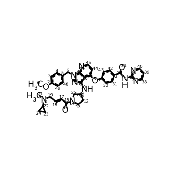 COc1ccc(Cn2nc(N[C@@H]3CCN(C(=O)C=CCN(C)C4CC4)C3)c3c(Oc4ccc(C(=O)Nc5ncccn5)cc4)ccnc32)cc1